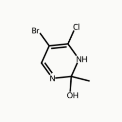 CC1(O)N=CC(Br)=C(Cl)N1